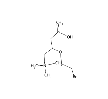 C=C(O)CC(C[N+](C)(C)C)OCCBr